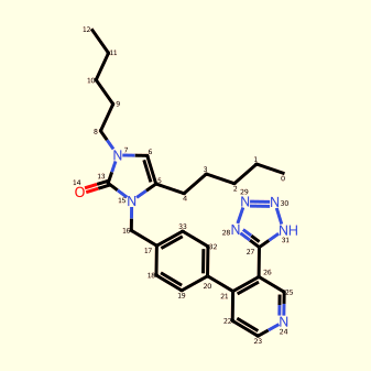 CCCCCc1cn(CCCCC)c(=O)n1Cc1ccc(-c2ccncc2-c2nnn[nH]2)cc1